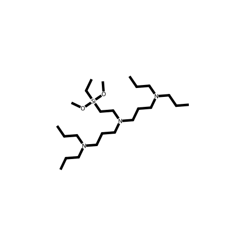 CCCN(CCC)CCCN(CCCN(CCC)CCC)CC[Si](CC)(OC)OC